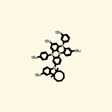 CC(C)(C)c1ccc(N2c3cc(N4c5ccc(C(C)(C)C)cc5C5(C)CCCCCCC45C)ccc3B3c4ccc(C(C)(C)C)cc4N(c4cccc(C(C)(C)C)c4)c4cc(C(C)(C)C)cc2c43)cc1